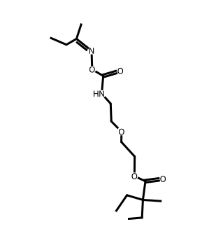 CC/C(C)=N\OC(=O)NCCOCCOC(=O)C(C)(CC)CC